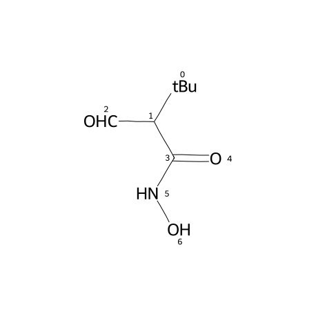 CC(C)(C)C(C=O)C(=O)NO